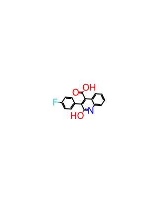 O=C(O)c1c(-c2ccc(F)cc2)c(O)nc2ccccc12